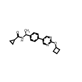 C[C@H](NC(=O)C1CC1)c1ccc(-c2cnc(OC3CCC3)nc2)cc1